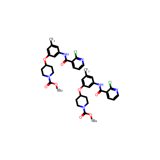 CC(C)(C)OC(=O)N1CCC(Oc2cc(NC(=O)c3cccnc3Cl)cc(C(F)(F)F)c2)CC1.CC(C)(C)OC(=O)N1CCC(Oc2cc(NC(=O)c3cccnc3Cl)cc(C(F)(F)F)c2)CC1